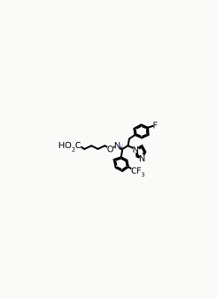 O=C(O)CCCCO/N=C(\c1cccc(C(F)(F)F)c1)C(Cc1ccc(F)cc1)n1ccnc1